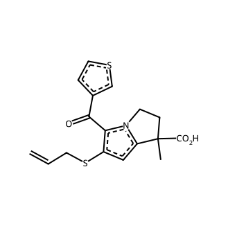 C=CCSc1cc2n(c1C(=O)c1ccsc1)CCC2(C)C(=O)O